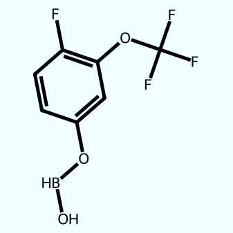 OBOc1ccc(F)c(OC(F)(F)F)c1